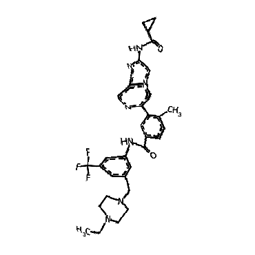 CCN1CCN(Cc2cc(NC(=O)c3ccc(C)c(-c4cn5cc(NC(=O)C6CC6)nc5cn4)c3)cc(C(F)(F)F)c2)CC1